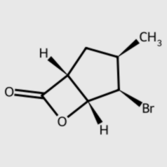 C[C@@H]1C[C@H]2C(=O)O[C@H]2[C@@H]1Br